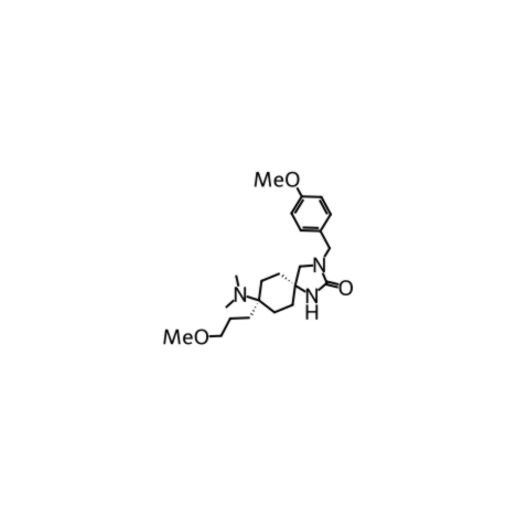 COCCC[C@]1(N(C)C)CC[C@]2(CC1)CN(Cc1ccc(OC)cc1)C(=O)N2